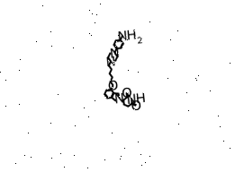 Nc1ccc(N2CCN(CCCCCOc3cccc4c3CN(C3CCC(=O)NC3=O)C4)CC2)cc1